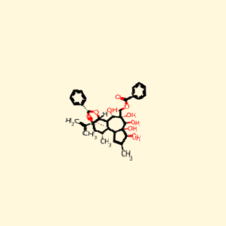 C=C(C)[C@]12C[C@@H](C)[C@@]34O[C@](c5ccccc5)(O[C@@H]1C3[C@H](O)[C@@](O)(COC(=O)c1ccccc1)[C@@H](O)[C@@]1(O)C4C[C@H](C)[C@@H]1O)O2